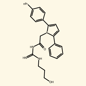 CCCc1ccc(-c2ccc(-c3ccccc3)n2CC(=O)NC(=N)NCCCO)cc1